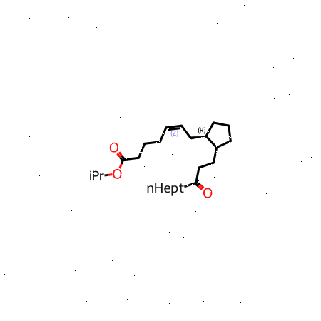 CCCCCCCC(=O)CCC1CCC[C@@H]1C/C=C\CCCC(=O)OC(C)C